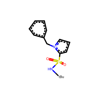 CC(C)(C)NS(=O)(=O)c1cccn1Cc1ccccc1